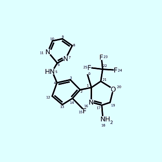 CC1(c2cc(Nc3ncccn3)ccc2F)N=C(N)COC1C(F)(F)F